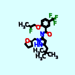 CC(F)COc1ccc(C(F)(F)F)cc1C(=O)N=c1cc(CC(C)(C)C)[nH]n1C[C@H]1CCCO1